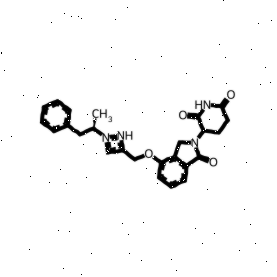 C[C@H](Cc1ccccc1)n1cc(COc2cccc3c2CN(C2CCC(=O)NC2=O)C3=O)[nH]1